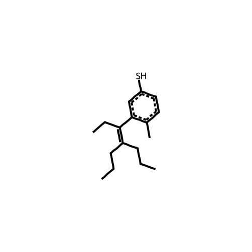 CCCC(CCC)=C(CC)c1cc(S)ccc1C